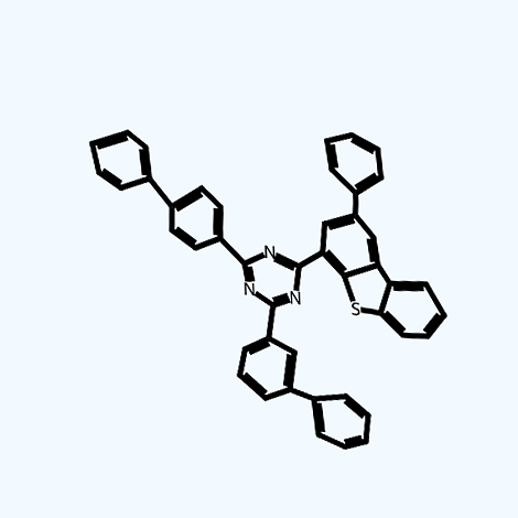 c1ccc(-c2ccc(-c3nc(-c4cccc(-c5ccccc5)c4)nc(-c4cc(-c5ccccc5)cc5c4sc4ccccc45)n3)cc2)cc1